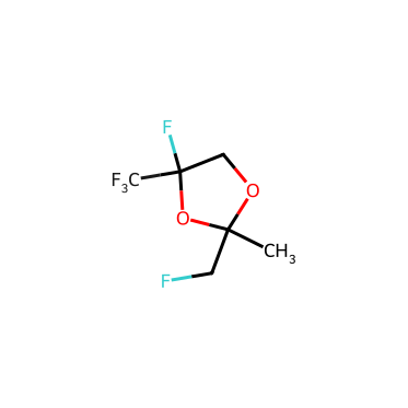 CC1(CF)OCC(F)(C(F)(F)F)O1